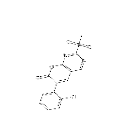 CS(=O)(=O)c1ncc2cc(-c3ccccc3Cl)c(=O)oc2n1